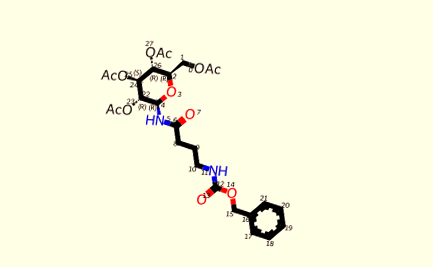 CC(=O)OC[C@H]1O[C@@H](NC(=O)CCCNC(=O)OCc2ccccc2)[C@H](OC(C)=O)[C@@H](OC(C)=O)[C@@H]1OC(C)=O